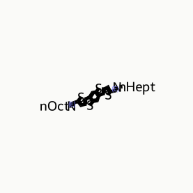 CCCCCCCC/N=C/c1cc2sc3cc4c(cc3c2s1)sc1cc(/C=N/CCCCCCC)sc14